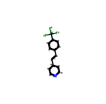 FC(F)(F)c1ccc(/C=C/c2ccncc2)cc1